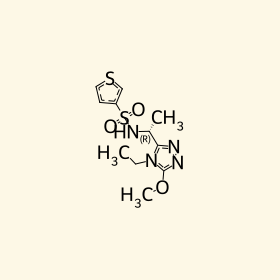 CCn1c(OC)nnc1[C@@H](C)NS(=O)(=O)c1ccsc1